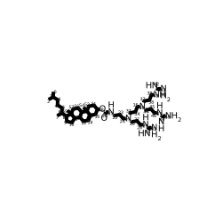 CC(C)CCCC(C)C1CCC2C3CC=C4CC(OC(=O)NCCCN(CCCNC(=N)N)CCCN(CCCNC(=N)N)CCCNC(=N)N)CCC4(C)C3CCC12C